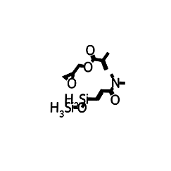 C=C(C)C(=O)OCC1CO1.CN(C)C(=O)C=C[SiH2]O[SiH3]